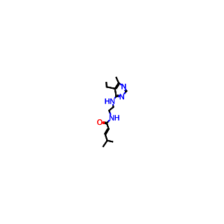 CCc1c(C)ncnc1NCCNC(=O)C=CC(C)C